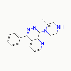 C[C@@H]1CNCCN1c1nnc(-c2ccccc2)c2cccnc12